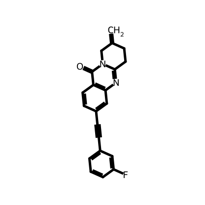 C=C1CCc2nc3cc(C#Cc4cccc(F)c4)ccc3c(=O)n2C1